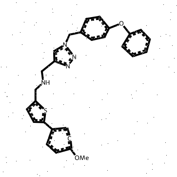 COc1ccc(-c2ccc(CNCc3cn(Cc4ccc(Oc5ccccc5)cc4)nn3)s2)cc1